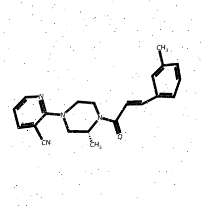 Cc1cccc(C=CC(=O)N2CCN(c3ncccc3C#N)C[C@H]2C)c1